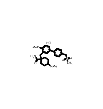 CNC1CCC(Cc2cc(-c3ccc(CS(C)(=O)=O)cc3)ccc2OC)(C(N)=O)CC1.Cl